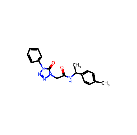 Cc1ccc([C@H](C)NC(=O)Cn2nnn(-c3ccccc3)c2=O)cc1